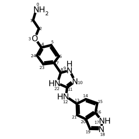 NCCOc1ccc(C2NN=C(Nc3ccc4[nH]ncc4c3)N2)cc1